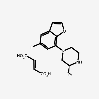 CC(C)[C@H]1CN(c2cc(F)cc3ccoc23)CCN1.O=C(O)/C=C/C(=O)O